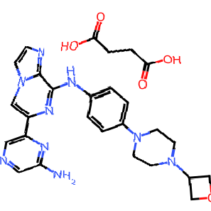 Nc1cncc(-c2cn3ccnc3c(Nc3ccc(N4CCN(C5COC5)CC4)cc3)n2)n1.O=C(O)CCC(=O)O